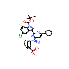 COC(=O)C1C2CCC(CC2)C1Nc1cc(-c2ccccc2)nc(-c2cn(C(=O)OC(C)(C)C)c3c(F)cc(Cl)cc23)n1